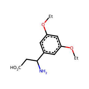 CCOc1cc(OCC)cc(C(N)CC(=O)O)c1